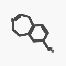 Nc1ccc2c(c1)CCN=CC2